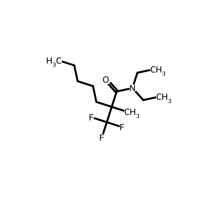 CCCCCC(C)(C(=O)N(CC)CC)C(F)(F)F